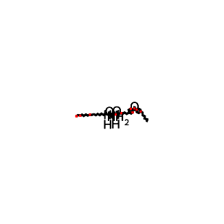 CCCCCCCCCCCCCCCCNC(=O)[C@@H](N)CNC(=O)CCCCCc1ccc(C(=O)c2ccc(CCCCCC)cc2)cc1